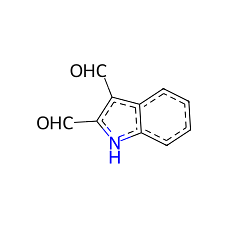 O=Cc1[nH]c2ccccc2c1C=O